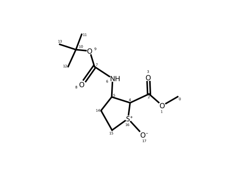 COC(=O)C1C(NC(=O)OC(C)(C)C)CC[S+]1[O-]